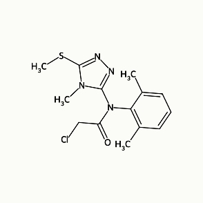 CSc1nnc(N(C(=O)CCl)c2c(C)cccc2C)n1C